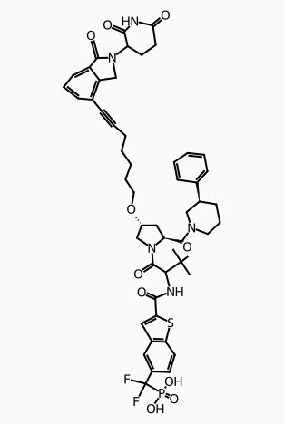 CC(C)(C)C(NC(=O)c1cc2cc(C(F)(F)P(=O)(O)O)ccc2s1)C(=O)N1C[C@H](OCCCCCC#Cc2cccc3c2CN(C2CCC(=O)NC2=O)C3=O)C[C@H]1C(=O)N1CCC[C@H](c2ccccc2)C1